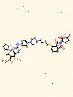 CC(=O)c1c(C)c2cnc(Nc3ccc(N4CCN(CCCCSc5cccc6c5C(=O)N(C5CCC(=O)NC5=O)C6=O)CC4)cn3)nc2n(C2CCCC2)c1=O